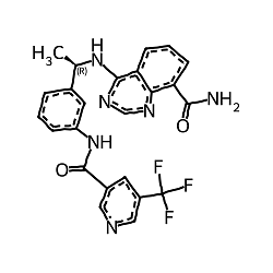 C[C@@H](Nc1ncnc2c(C(N)=O)cccc12)c1cccc(NC(=O)c2cncc(C(F)(F)F)c2)c1